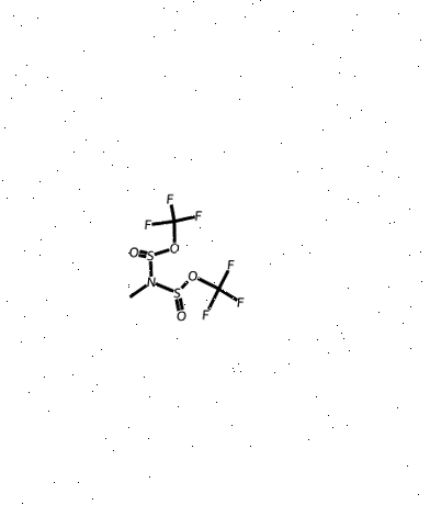 CN(S(=O)OC(F)(F)F)S(=O)OC(F)(F)F